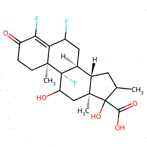 CC1C[C@H]2[C@@H]3CC(F)C4=C(F)C(=O)CC[C@]4(C)[C@]3(F)C(O)C[C@]2(C)C1(O)C(=O)O